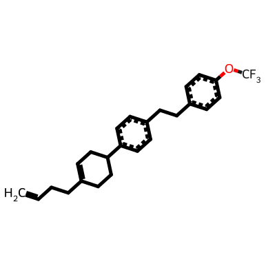 C=CCCC1=CCC(c2ccc(CCc3ccc(OC(F)(F)F)cc3)cc2)CC1